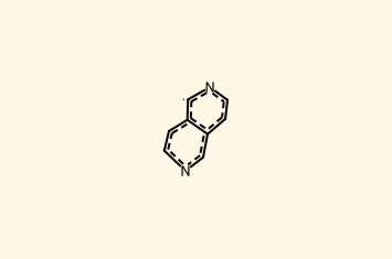 [c]1nccc2cnccc12